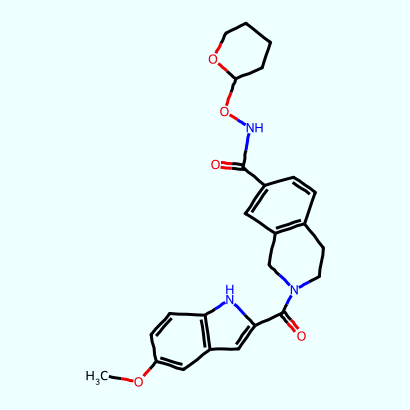 COc1ccc2[nH]c(C(=O)N3CCc4ccc(C(=O)NOC5CCCCO5)cc4C3)cc2c1